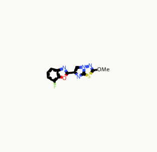 COc1nn2cc(-c3nc4cccc(F)c4o3)nc2s1